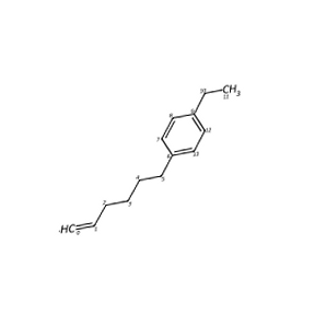 [CH]=CCCCCc1ccc(CC)cc1